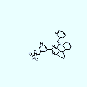 CS(=O)(=O)NCc1cncc(-c2nc(NCc3ccccn3)c3c(n2)=CCCC=3C2=CC=CCC2)c1